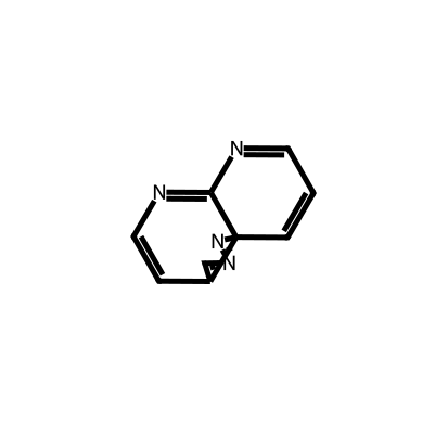 C1=CC23N=NC=C2C=CN=C3N=C1